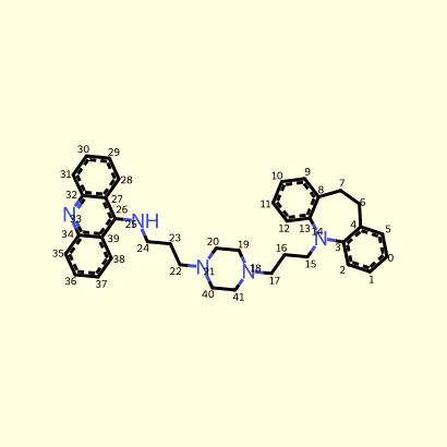 c1ccc2c(c1)CCc1ccccc1N2CCCN1CCN(CCCNc2c3ccccc3nc3ccccc23)CC1